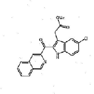 COC(=O)Cc1c(C(=O)c2cc3ccccc3cn2)[nH]c2ccc(Cl)cc12